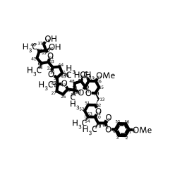 COc1ccc(OC(=O)[C@H](C)C2O[C@@H](C[C@@H]3CC(OC)C(C)[C@]4(O3)O[C@](C)(C3CC[C@@](C)(C5OC(C6O[C@@](O)(CO)[C@H](C)C[C@@H]6C)C[C@@H]5C)O3)C[C@H]4C)CC[C@@H]2C)cc1